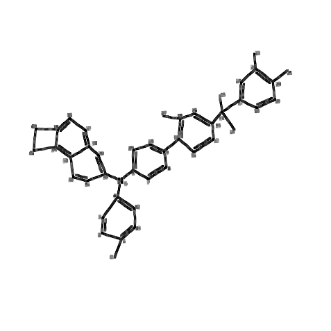 Cc1ccc(N(c2ccc(-c3ccc(C(C)(C)c4ccc(C)c(C)c4)cc3C)cc2)c2ccc3c4c(ccc3c2)CC4)cc1